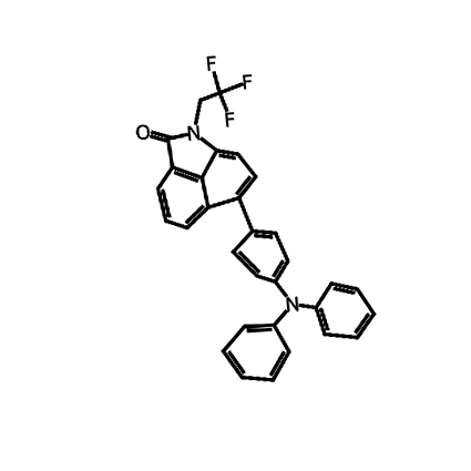 O=C1c2cccc3c(-c4ccc(N(c5ccccc5)c5ccccc5)cc4)ccc(c23)N1CC(F)(F)F